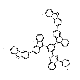 c1ccc(-c2nc(-c3cc(-n4c5ccccc5c5cc(-c6ccc7oc8ccccc8c7c6)ccc54)cc(-n4c5ccccc5c5cc(-c6ccc7oc8ccccc8c7c6)ccc54)c3)nc3ccccc23)cc1